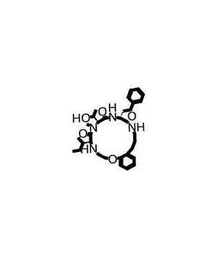 CCC(C)[C@@H]1NCCOc2ccccc2CCCNC(=O)[C@@H](CCc2ccccc2)NC(=O)[C@H](C(C)O)N(C)C1=O